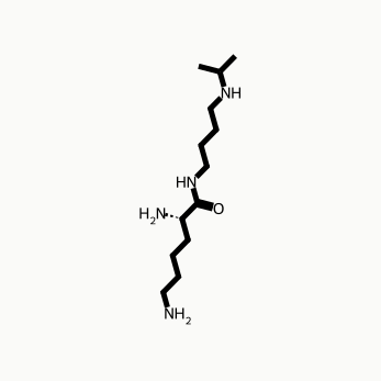 CC(C)NCCCCNC(=O)[C@@H](N)CCCCN